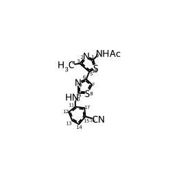 CC(=O)Nc1nc(C)c(-c2csc(Nc3cccc(C#N)c3)n2)s1